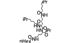 CCCCCCC(=O)NCCCCC(NC(=O)C(CCCCNC(=O)CCCCC(C)C)NC(=O)CCCCC(C)C)C(=O)C(C)C